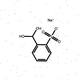 O=S(=O)([O-])c1ccccc1C(O)O.[Na+]